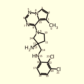 Cc1ccn2ncnc(N3CCC(N)(CNc4cccc(Cl)c4Cl)C3)c12